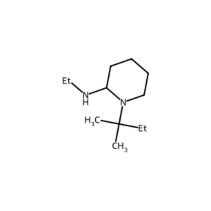 CCNC1CCCCN1C(C)(C)CC